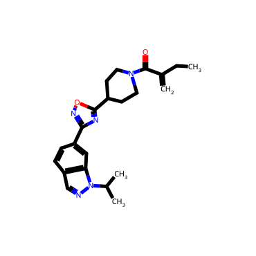 C=C(CC)C(=O)N1CCC(c2nc(-c3ccc4cnn(C(C)C)c4c3)no2)CC1